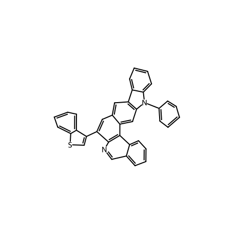 c1ccc(-n2c3ccccc3c3cc4cc(-c5csc6ccccc56)c5ncc6ccccc6c5c4cc32)cc1